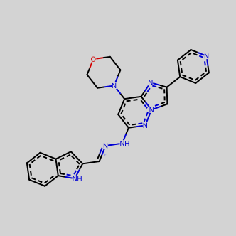 C(=N\Nc1cc(N2CCOCC2)c2nc(-c3ccncc3)cn2n1)/c1cc2ccccc2[nH]1